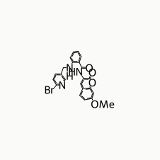 COc1ccc2cc(NC(=O)c3ccccc3NCc3ccc(Br)nc3)c(=O)oc2c1